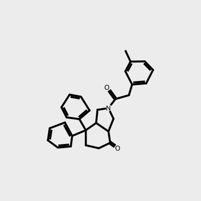 Cc1cccc(CC(=O)N2CC3C(=O)CCC(c4ccccc4)(c4ccccc4)C3C2)c1